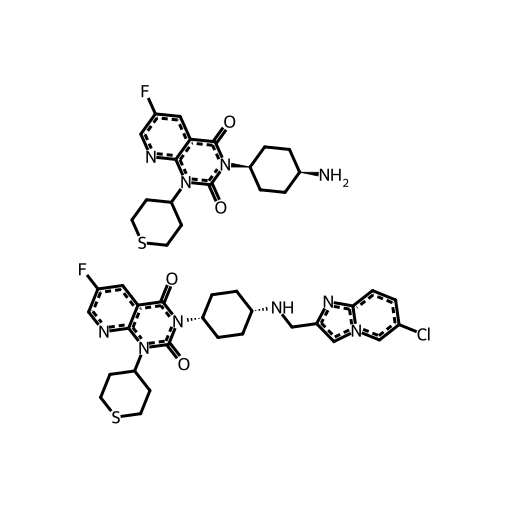 N[C@H]1CC[C@@H](n2c(=O)c3cc(F)cnc3n(C3CCSCC3)c2=O)CC1.O=c1c2cc(F)cnc2n(C2CCSCC2)c(=O)n1[C@H]1CC[C@@H](NCc2cn3cc(Cl)ccc3n2)CC1